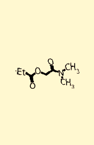 C[CH]C(=O)OCC(=O)N(C)C